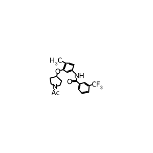 CC(=O)N1CCC(Oc2cc(NC(=O)c3cccc(C(F)(F)F)c3)ccc2C)CC1